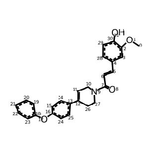 COc1cc(C=CC(=O)N2CC=C(c3ccc(Oc4ccccc4)cc3)CC2)ccc1O